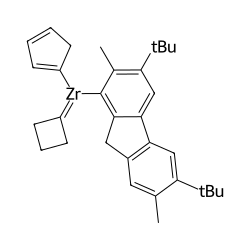 Cc1cc2c(cc1C(C)(C)C)-c1cc(C(C)(C)C)c(C)[c]([Zr]([C]3=CC=CC3)=[C]3CCC3)c1C2